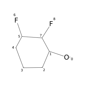 [O]C1CCCC(F)C1F